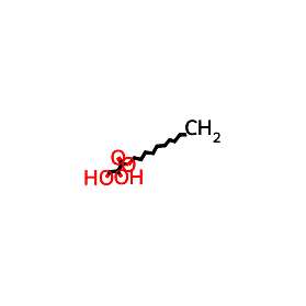 C=CCCCCCCCCCOC(=O)C(O)CO